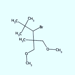 COCC(C)(COC)C(Br)C(C)(C)C